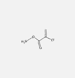 C=C(Cl)C(=O)O[SiH3]